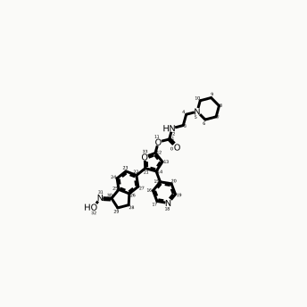 O=C(NCCN1CCCCC1)Oc1cc(-c2ccncc2)c(-c2ccc3c(c2)CCC3=NO)o1